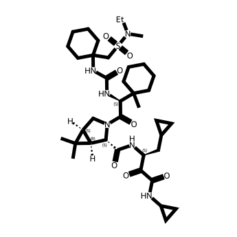 CCN(C)S(=O)(=O)CC1(NC(=O)N[C@H](C(=O)N2C[C@H]3[C@@H]([C@H]2C(=O)N[C@@H](CC2CC2)C(=O)C(=O)NC2CC2)C3(C)C)C2(C)CCCCC2)CCCCC1